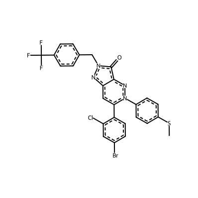 CSc1ccc(-n2nc3c(=O)n(Cc4ccc(C(F)(F)F)cc4)nc-3cc2-c2ccc(Br)cc2Cl)cc1